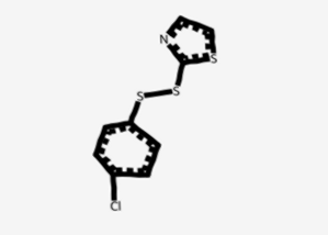 Clc1ccc(SSc2nccs2)cc1